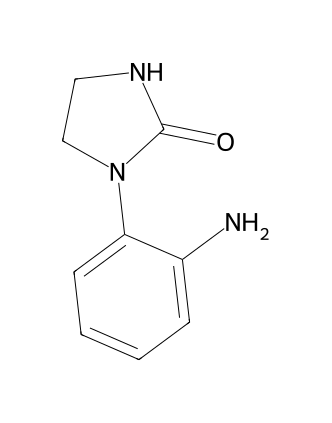 Nc1ccccc1N1CCNC1=O